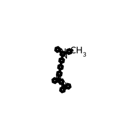 Cc1ccc(-c2nc(-c3ccccc3)cc(-c3ccc(-c4ccc(-c5ccc(-n6c7ccccc7c7cc(-n8c9ccccc9c9ccccc98)ccc76)cc5)cc4)cc3)n2)cc1